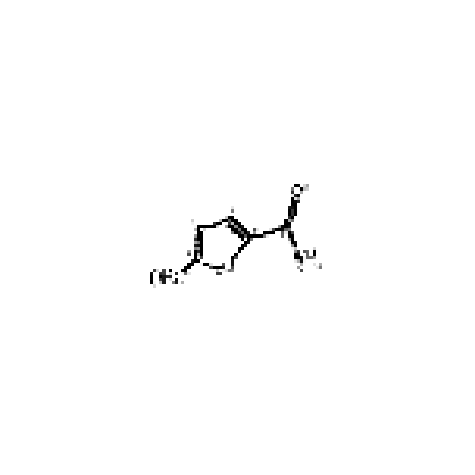 NC(=O)c1ccc(C=O)o1